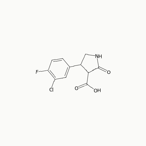 O=C(O)C1C(=O)NCC1c1ccc(F)c(Cl)c1